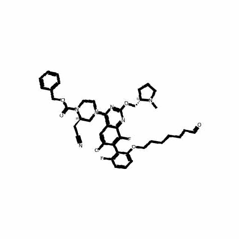 CN1CCC[C@H]1COc1nc(N2CCN(C(=O)OCc3ccccc3)[C@H](CC#N)C2)c2cc(Cl)c(-c3c(F)cccc3OCCCCCCC=O)c(F)c2n1